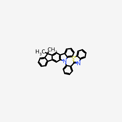 CC1(C)c2ccccc2-c2cc3c(cc21)c1ccccc1n3-c1ccccc1-c1nc2ccccc2s1